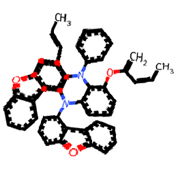 C=C(/C=C\C)Oc1cccc(N(c2cccc3oc4ccccc4c23)c2cccc3oc4ccccc4c23)c1N(c1ccccc1)c1ccccc1/C=C/C